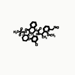 CO[n+]1c(CN=O)cccc1C(C)NC(=O)[C@@H]1c2ccccc2C(=O)N([C@H]2CCCC[C@@H]2NS(C)(=O)=O)[C@H]1c1ccc(Cl)cc1Cl